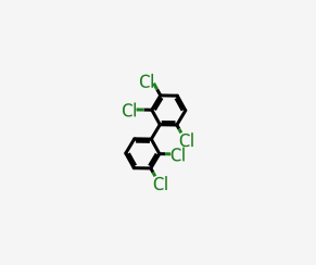 Clc1cccc(-c2c(Cl)ccc(Cl)c2Cl)c1Cl